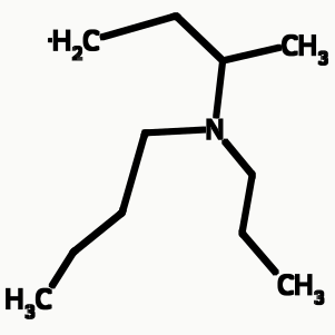 [CH2]CC(C)N(CCC)CCCC